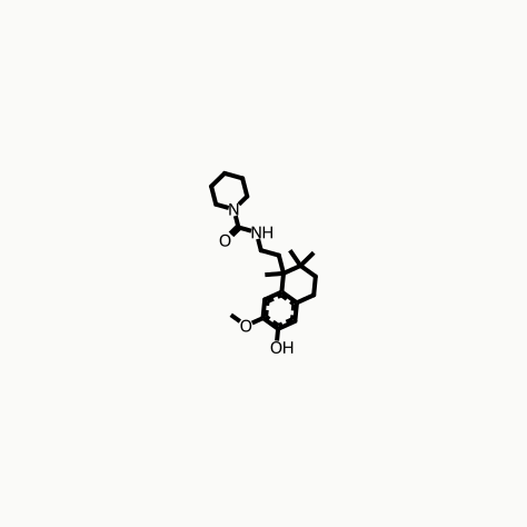 COc1cc2c(cc1O)CCC(C)(C)C2(C)CCNC(=O)N1CCCCC1